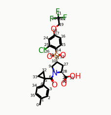 Cc1ccc(C2(C(=O)N3C[C@H](S(=O)(=O)c4ccc(OCC(F)(F)F)cc4Cl)C[C@H]3C(=O)O)CC2)cc1